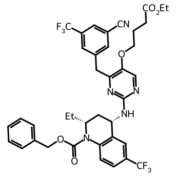 CCOC(=O)CCCOc1cnc(N[C@H]2C[C@@H](CC)N(C(=O)OCc3ccccc3)c3ccc(C(F)(F)F)cc32)nc1Cc1cc(C#N)cc(C(F)(F)F)c1